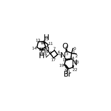 CC1(C)C(=O)N([C@H]2C[C@@](C)(N3C[C@H]4CC[C@@H]3C4)C2)c2cc(Br)cnc21